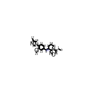 CC[C@@H]1CON=C2/C(=C/c3ccc(-n4cnc(C)c4)c(OC)c3)CCCN21